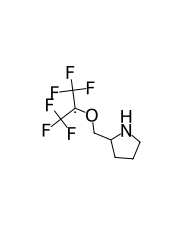 FC(F)(F)[C](OCC1CCCN1)C(F)(F)F